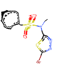 CN(c1nnc(Br)s1)S(=O)(=O)c1ccccc1